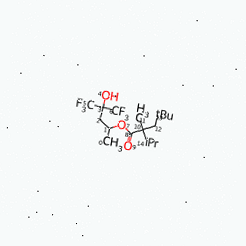 CC(CC(O)(C(F)(F)F)C(F)(F)F)OC(=O)C(C)(CC(C)(C)C)C(C)C